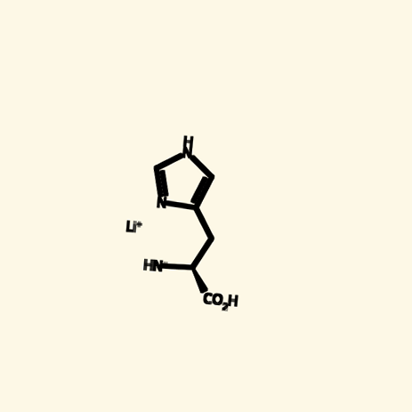 [Li+].[NH-][C@@H](Cc1c[nH]cn1)C(=O)O